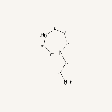 [NH]CCN1CCCNCC1